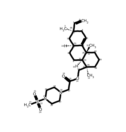 C=C[C@@]1(C)CC=C2[C@@H](CC[C@@H]3[C@](C)(COC(=O)CN4CCN(S(C)(=O)=O)CC4)CCC[C@@]23C)C1